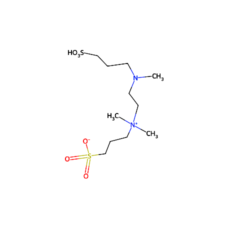 CN(CCCS(=O)(=O)O)CC[N+](C)(C)CCCS(=O)(=O)[O-]